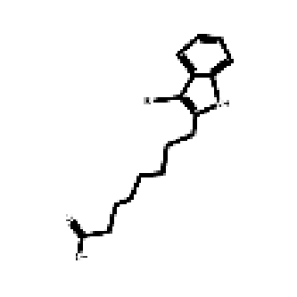 O=C(O)CCCCCCCc1[nH]c2ccccc2c1Br